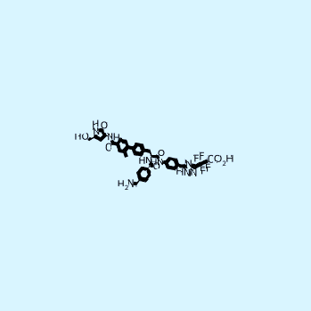 Cc1cc(C(=O)N[C@@H]2C[C@@H](CO)NC2=O)ccc1-c1ccc(C[C@H](NC(=O)[C@H]2CC[C@H](CN)CC2)C(=O)Nc2ccc(-c3nc(C(F)(F)C(F)(F)C(=O)O)n[nH]3)cc2)cc1